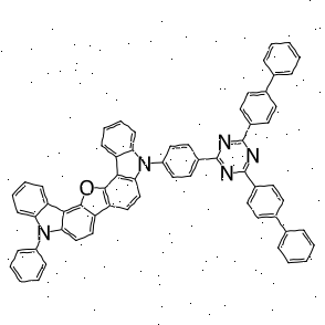 c1ccc(-c2ccc(-c3nc(-c4ccc(-c5ccccc5)cc4)nc(-c4ccc(-n5c6ccccc6c6c7oc8c(ccc9c8c8ccccc8n9-c8ccccc8)c7ccc65)cc4)n3)cc2)cc1